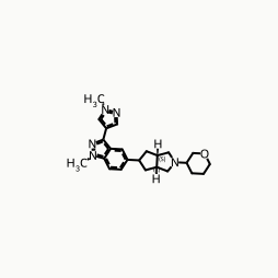 Cn1cc(-c2nn(C)c3ccc(C4C[C@@H]5CN(C6CCCOC6)C[C@@H]5C4)cc23)cn1